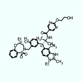 CC[C@@H]1CN(Cc2cc([C@@H](c3ccc4c(c3C)NN(C)N4CC)C(C)(C)NC(=O)c3cnc(OCCO)nc3)ccc2C)S(=O)(=O)c2ccccc2O1